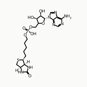 Nc1ncnc2c1ncn2[C@@H]1OC(COP(=O)(O)OCCCCC[C@@H]2SC[C@@H]3NC(=O)N[C@@H]32)[C@@H](O)[C@H]1O